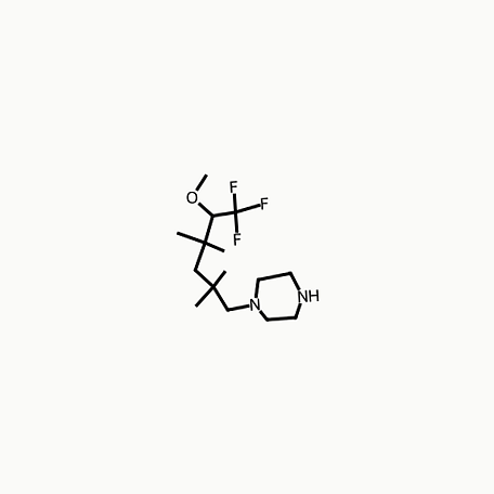 COC(C(F)(F)F)C(C)(C)CC(C)(C)CN1CCNCC1